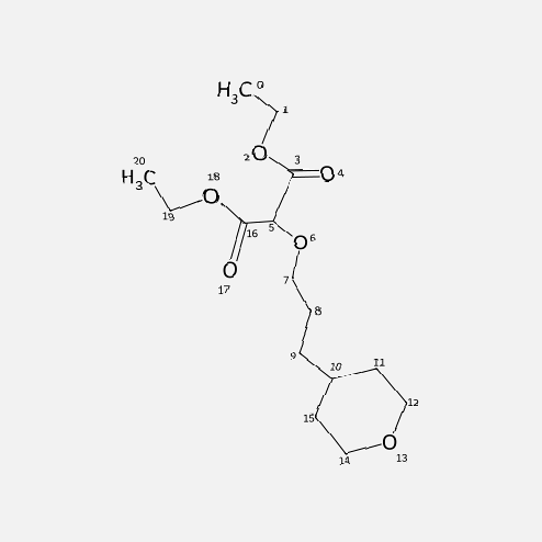 CCOC(=O)C(OCCCC1CCOCC1)C(=O)OCC